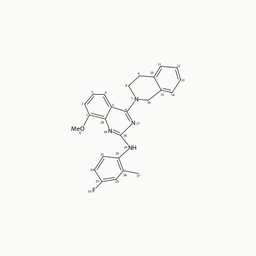 COc1cccc2c(N3CCc4ccccc4C3)nc(Nc3ccc(F)cc3C)nc12